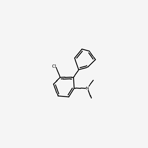 CN(C)c1cccc(Cl)c1-c1ccccc1